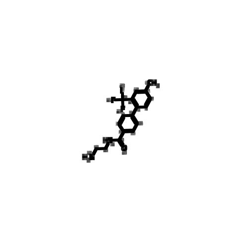 Cc1ccc(-c2ccc(C(=O)NCCN)cc2)c(C(F)(F)F)c1